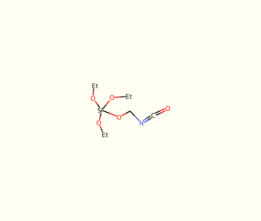 CCO[Si](OCC)(OCC)OCN=C=O